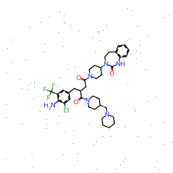 Nc1c(Cl)cc(CC(CC(=O)N2CCC(N3CCc4ccccc4NC3=O)CC2)C(=O)N2CCC(CN3CCCCC3)CC2)cc1C(F)(F)F